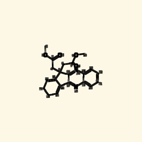 COC(=O)CC1(CC(=O)OC)C2=CCCC=C2c2nc3ccccc3nc21